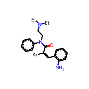 CCN(CC)CCN(C(=O)C(=Cc1ccccc1N)C(C)=O)c1ccccc1